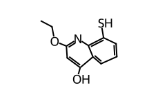 CCOc1cc(O)c2cccc(S)c2n1